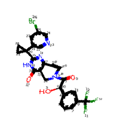 O=C([C@H](O)c1cccc(C(F)(F)F)c1)N1CCc2nc(C3(c4cncc(Br)c4)CC3)[nH]c(=O)c2C1